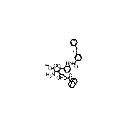 CCOC(=O)C(N)[C@@H](C(=O)c1cccc(NC(=O)c2cccc(OCc3ccccc3)c2)c1)[C@H](O)COC(=O)C12CC3CC(CC(C3)C1)C2